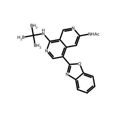 BC(B)(B)Nc1ncc(-c2nc3ccccc3o2)c2cc(NC(C)=O)ncc12